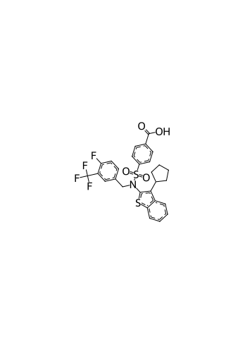 O=C(O)c1ccc(S(=O)(=O)N(Cc2ccc(F)c(C(F)(F)F)c2)c2sc3ccccc3c2C2CCCC2)cc1